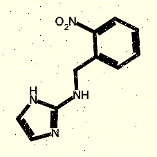 O=[N+]([O-])c1ccccc1CNc1ncc[nH]1